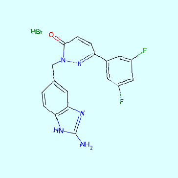 Br.Nc1nc2cc(Cn3nc(-c4cc(F)cc(F)c4)ccc3=O)ccc2[nH]1